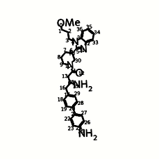 COCCCn1c([C@@H]2CCCN(C(=O)C[C@H](N)Cc3ccc(-c4ccc(N)cc4)cc3)C2)nc2ccccc21